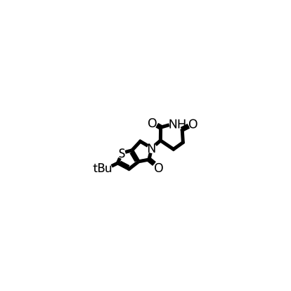 CC(C)(C)c1cc2c(s1)CN(C1CCC(=O)NC1=O)C2=O